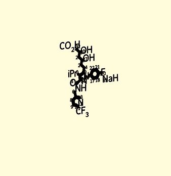 CC(C)c1c(C(=O)NCc2ccc(C(F)(F)F)nc2)nn(-c2ccc(F)cc2)c1CC[C@@H](O)C[C@@H](O)CC(=O)O.[NaH]